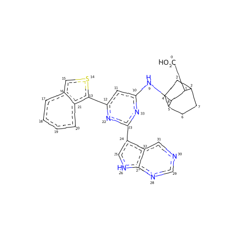 O=C(O)C1C2CCC(CC2)C1Nc1cc(-c2scc3ccccc23)nc(-c2c[nH]c3ncncc23)n1